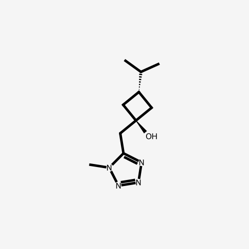 CC(C)[C@H]1C[C@@](O)(Cc2nnnn2C)C1